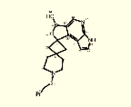 CC(C)CSN1CCC2(CC1)CC1(C2)OB(O)c2cnc3[nH]ccc3c21